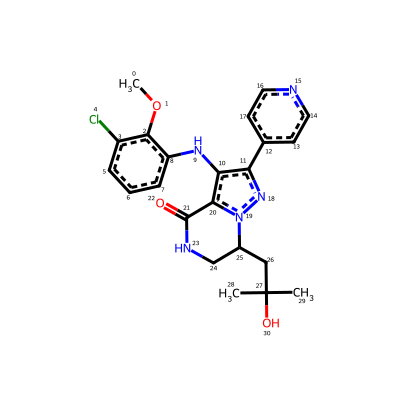 COc1c(Cl)cccc1Nc1c(-c2ccncc2)nn2c1C(=O)NCC2CC(C)(C)O